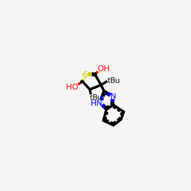 CC(C)(C)C(C(O)=S)C(C(O)=S)(c1nc2ccccc2[nH]1)C(C)(C)C